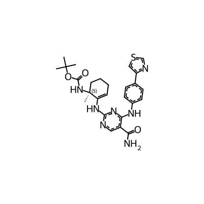 CC(C)(C)OC(=O)N[C@@]1(C)CCCC=C1Nc1ncc(C(N)=O)c(Nc2ccc(-c3cscn3)cc2)n1